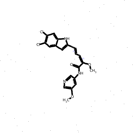 CO/C(=C/C=C/c1cc2cc(Cl)c(Cl)cc2[nH]1)C(=O)Nc1cncc(OC)c1